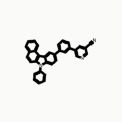 N#Cc1cncc(-c2cccc(-c3ccc4c(c3)c3c5ccccc5ccc3n4-c3ccccc3)c2)c1